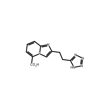 O=C(O)c1cccc2nc(CCc3nnn[nH]3)cn12